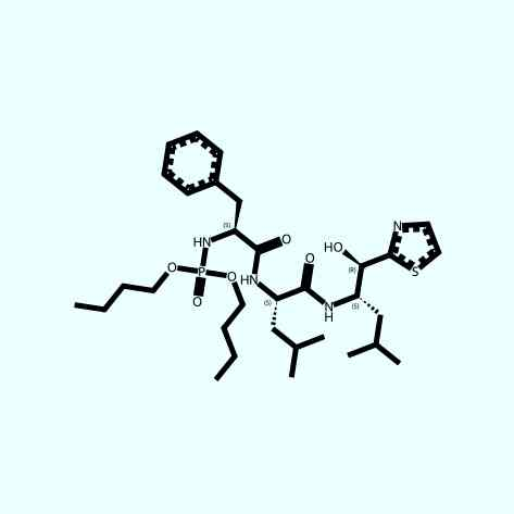 CCCCOP(=O)(N[C@@H](Cc1ccccc1)C(=O)N[C@@H](CC(C)C)C(=O)N[C@@H](CC(C)C)[C@@H](O)c1nccs1)OCCCC